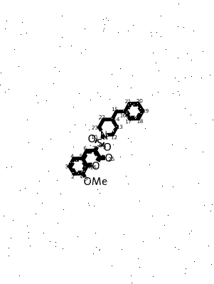 COc1cccc2cc(S(=O)(=O)N3CCC(Cc4ccccc4)CC3)c(=O)oc12